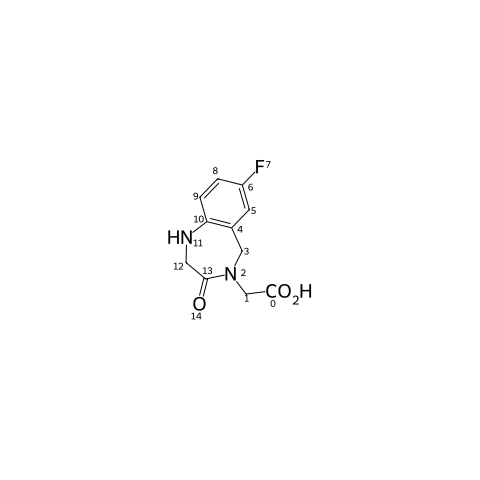 O=C(O)CN1Cc2cc(F)ccc2NCC1=O